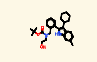 Cc1ccc2c(C3CCCCC3)c(-c3ccccc3CN(CCO)C(=O)OC(C)(C)C)[nH]c2c1